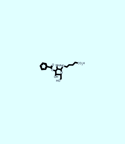 CC(=O)NC1C(OCCCCC(=O)O)OC(CO)C(O)C1OC(=O)c1ccccc1